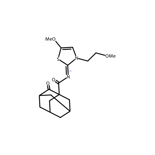 COCCn1cc(OC)s/c1=N\C(=O)C12CC3CC(CC(C3)C1=O)C2